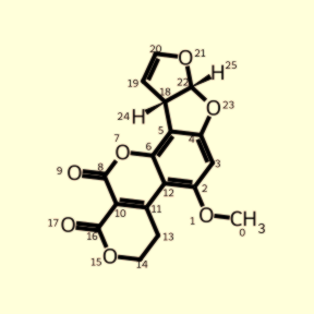 COc1cc2c(c3oc(=O)c4c(c13)CCOC4=O)[C@@H]1C=CO[C@@H]1O2